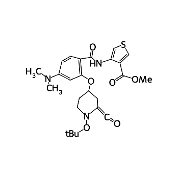 COC(=O)c1cscc1NC(=O)c1ccc(N(C)C)cc1OC1CCN(OC(C)(C)C)C(=C=O)C1